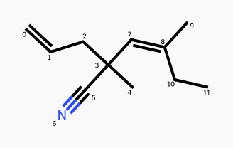 C=CCC(C)(C#N)/C=C(/C)CC